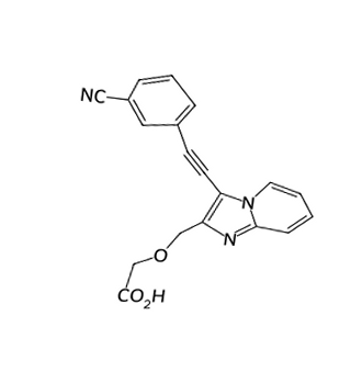 N#Cc1cccc(C#Cc2c(COCC(=O)O)nc3ccccn23)c1